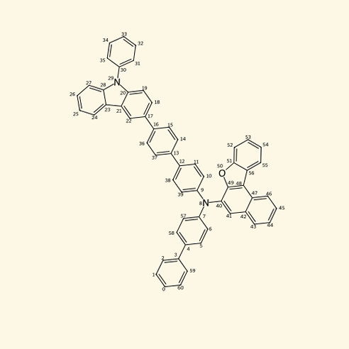 c1ccc(-c2ccc(N(c3ccc(-c4ccc(-c5ccc6c(c5)c5ccccc5n6-c5ccccc5)cc4)cc3)c3cc4ccccc4c4c3oc3ccccc34)cc2)cc1